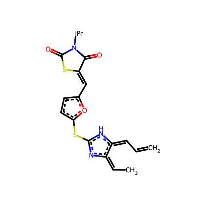 C=C/C=c1/[nH]c(Sc2ccc(/C=C3\SC(=O)N(C(C)C)C3=O)o2)n/c1=C/C